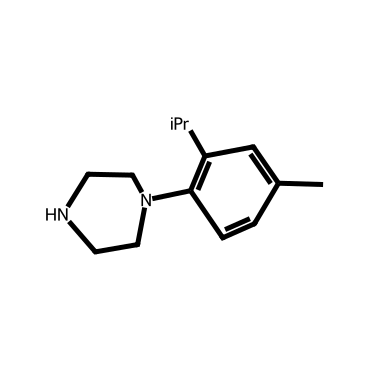 Cc1ccc(N2CCNCC2)c(C(C)C)c1